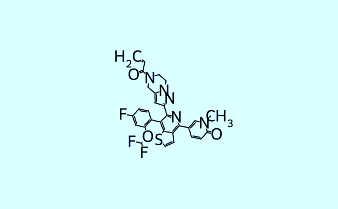 C=CC(=O)N1CCn2nc(-c3nc(-c4ccc(=O)n(C)c4)c4ccsc4c3-c3ccc(F)cc3OC(F)F)cc2C1